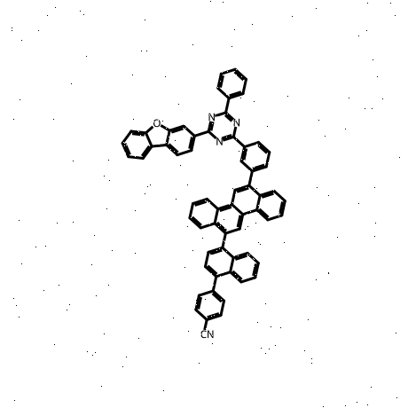 N#Cc1ccc(-c2ccc(-c3cc4c5ccccc5c(-c5cccc(-c6nc(-c7ccccc7)nc(-c7ccc8c(c7)oc7ccccc78)n6)c5)cc4c4ccccc34)c3ccccc23)cc1